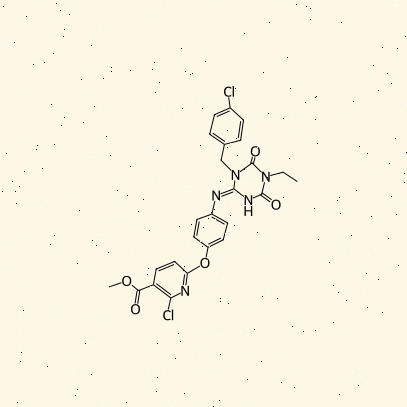 CCn1c(=O)[nH]/c(=N\c2ccc(Oc3ccc(C(=O)OC)c(Cl)n3)cc2)n(Cc2ccc(Cl)cc2)c1=O